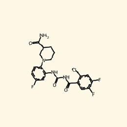 NC(=O)C1CCCN(c2ccc(F)cc2NC(=O)NC(=O)c2cc(F)c(F)cc2Cl)C1